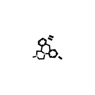 C=C.C=C.C=C.CN1CCN2c3ccccc3Cc3ccccc3C2C1